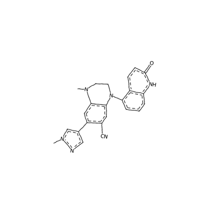 CN1CCN(c2cccc3[nH]c(=O)ccc23)c2cc(C#N)c(-c3cnn(C)c3)cc21